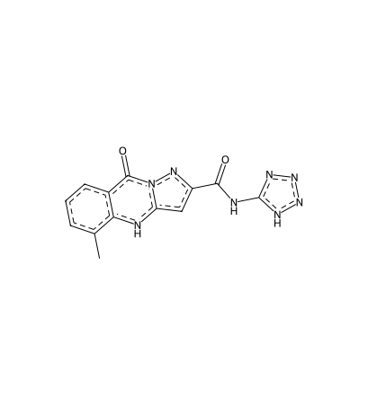 Cc1cccc2c(=O)n3nc(C(=O)Nc4nnn[nH]4)cc3[nH]c12